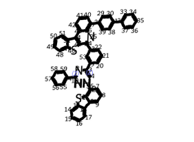 N/C(=N\C(=C/Nc1cccc2c1sc1ccccc12)c1cccc(-c2nc3c(-c4ccc(-c5ccccc5)cc4)cccc3c3c2sc2ccccc23)c1)c1ccccc1